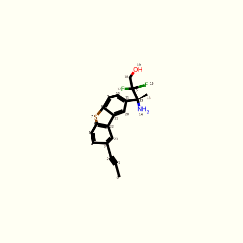 CC#Cc1ccc2sc3ccc([C@@](C)(N)C(F)(F)CO)cc3c2c1